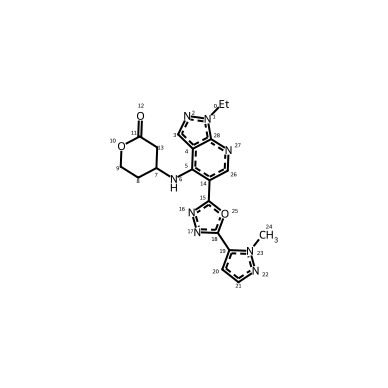 CCn1ncc2c(NC3CCOC(=O)C3)c(-c3nnc(-c4ccnn4C)o3)cnc21